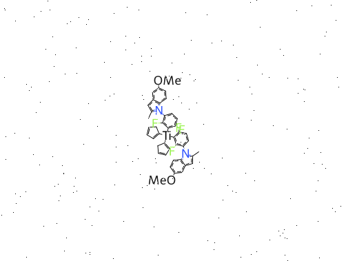 COc1ccc2c(c1)cc(C)n2-c1ccc(F)[c]([Ti]([C]2=CC=CC2)([C]2=CC=CC2)[c]2c(F)ccc(-n3c(C)cc4cc(OC)ccc43)c2F)c1F